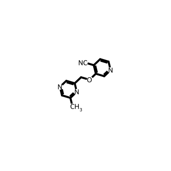 Cc1cncc(COc2cnccc2C#N)n1